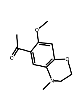 COc1cc2c(cc1C(C)=O)N(C)CCO2